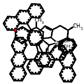 CC(CC1=Cc2c(-c3c4ccccc4cc4ccccc34)ccc(-c3c4ccccc4cc4ccccc34)c2[CH]1[Zr]([CH3])([CH3])(=[SiH2])[CH]1C(CC(C)c2ccccc2)=Cc2c(-c3c4ccccc4cc4ccccc34)ccc(-c3c4ccccc4cc4ccccc34)c21)c1ccccc1